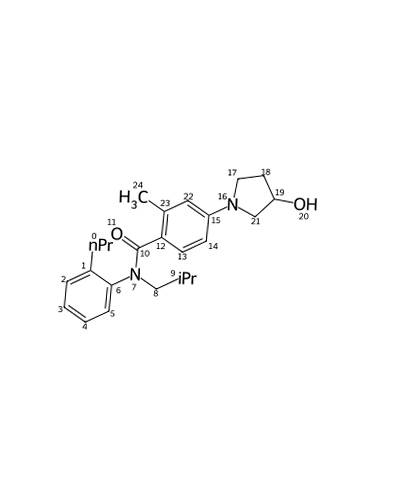 CCCc1ccccc1N(CC(C)C)C(=O)c1ccc(N2CCC(O)C2)cc1C